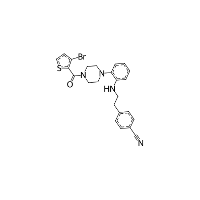 N#Cc1ccc(CCNc2ccccc2N2CCN(C(=O)c3sccc3Br)CC2)cc1